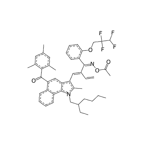 C=CC(=C\c1c(C)n(CC(CC)CCCC)c2c1cc(C(=O)c1c(C)cc(C)cc1C)c1ccccc12)/C(=N\OC(C)=O)c1ccccc1OCC(F)(F)C(F)F